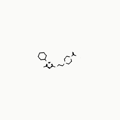 CC(=O)N1CCN(CCNc2cc(C)n(C3CCCCC3)n2)CC1